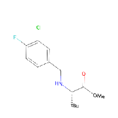 COC(=O)[C@@H](NCc1ccc(F)c(Cl)c1)C(C)(C)C